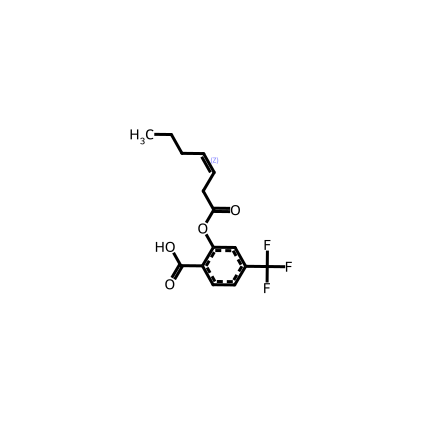 CCC/C=C\CC(=O)Oc1cc(C(F)(F)F)ccc1C(=O)O